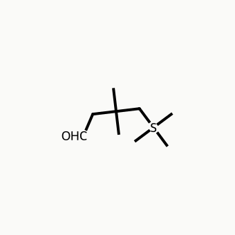 CC(C)(CC=O)CS(C)(C)C